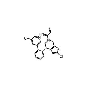 C=CC(=N)N1Cc2sc(Cl)cc2[C@H](c2ccccc2-c2cncc(Cl)c2)C1